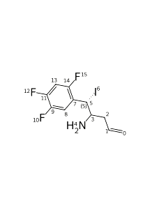 C=CCC(N)[C@@H](I)c1cc(F)c(F)cc1F